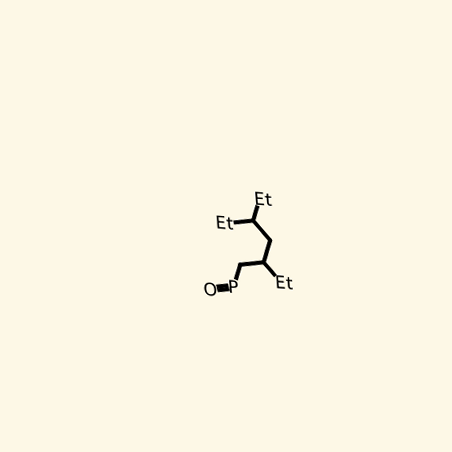 CCC(CC)CC(CC)CP=O